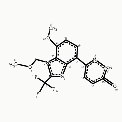 COCn1c(C(F)(F)F)nc2c(-c3ccc(=O)[nH]n3)ccc(OC)c21